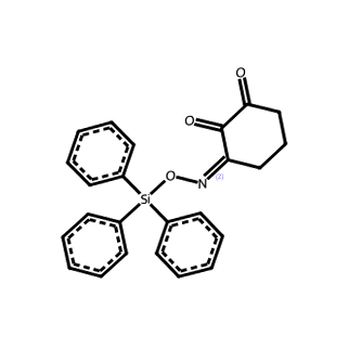 O=C1CCC/C(=N/O[Si](c2ccccc2)(c2ccccc2)c2ccccc2)C1=O